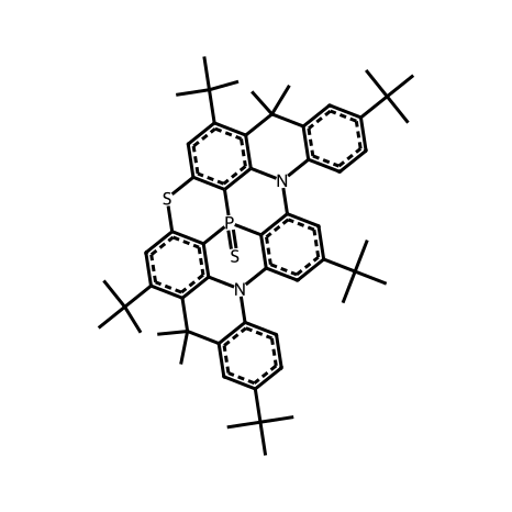 CC(C)(C)c1cc2c3c(c1)N1c4ccc(C(C)(C)C)cc4C(C)(C)c4c(C(C)(C)C)cc5c(c41)P3(=S)c1c(cc(C(C)(C)C)c3c1N2c1ccc(C(C)(C)C)cc1C3(C)C)S5